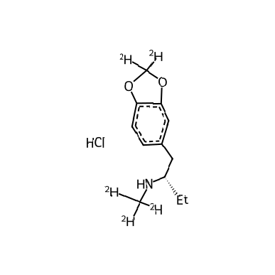 Cl.[2H]C([2H])([2H])N[C@@H](CC)Cc1ccc2c(c1)OC([2H])([2H])O2